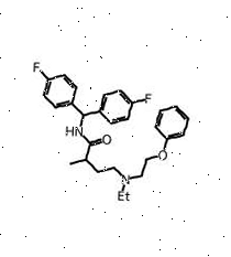 CCN(CCOc1ccccc1)CCC(C)C(=O)NC(c1ccc(F)cc1)c1ccc(F)cc1